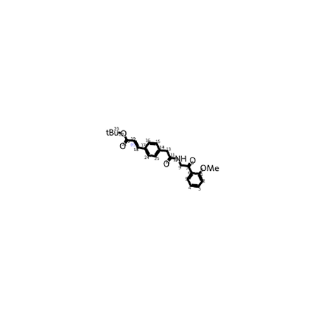 COc1ccccc1C(=O)CNC(=O)Cc1ccc(/C=C/C(=O)OC(C)(C)C)cc1